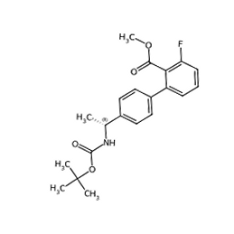 COC(=O)c1c(F)cccc1-c1ccc([C@@H](C)NC(=O)OC(C)(C)C)cc1